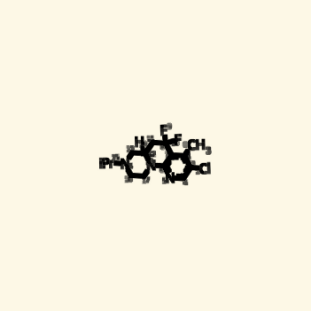 Cc1c(Cl)cnc2c1C(F)(F)C[C@H]1CN(C(C)C)CCN21